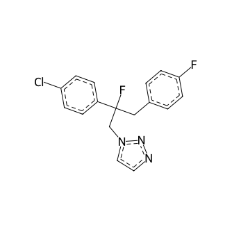 Fc1ccc(CC(F)(Cn2ccnn2)c2ccc(Cl)cc2)cc1